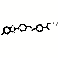 CC(CC(=O)O)c1ccc(SCC2CCN(c3nc4ccc(Cl)cc4s3)CC2)cc1